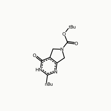 CCCCc1nc2c(c(=O)[nH]1)CN(C(=O)OC(C)(C)C)C2